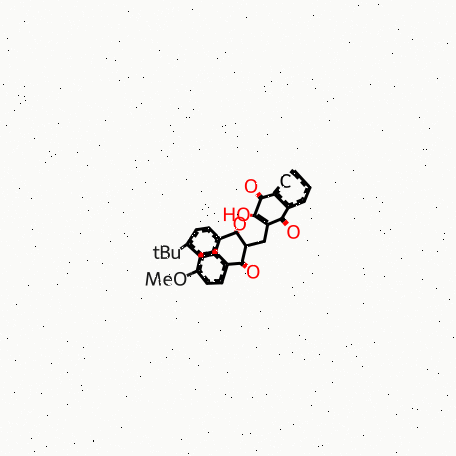 COc1ccc(C(=O)C(CC2=C(O)C(=O)c3ccccc3C2=O)C(=O)c2ccc(C(C)(C)C)cc2)cc1